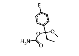 CC[C@@](OC)(OC(N)=O)c1ccc(F)cc1